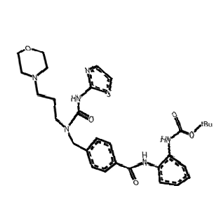 CC(C)(C)OC(=O)Nc1ccccc1NC(=O)c1ccc(CN(CCCN2CCOCC2)C(=O)Nc2nccs2)cc1